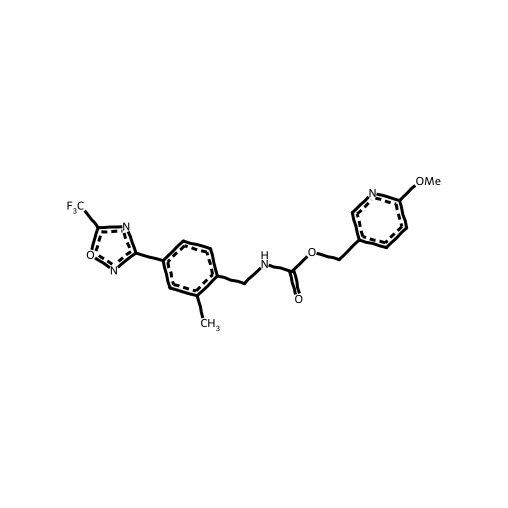 COc1ccc(COC(=O)NCc2ccc(-c3noc(C(F)(F)F)n3)cc2C)cn1